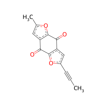 CC#Cc1cc2c(o1)C(=O)c1cc(C)oc1C2=O